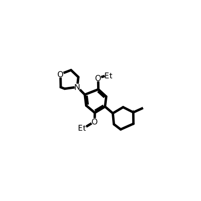 CCOc1cc(N2CCOCC2)c(OCC)cc1C1CCC[C](C)C1